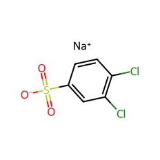 O=S(=O)([O-])c1ccc(Cl)c(Cl)c1.[Na+]